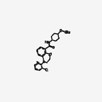 CC(C)(C)OC1CCC(NC(=O)c2cccc3c2OCCN3c2ncccc2Cl)CC1